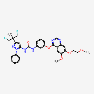 COCCOc1cc2ncnc(Oc3cccc(NC(=O)Nc4cc(C(C)(CF)CF)nn4-c4ccccc4)c3)c2cc1OC